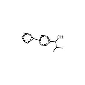 CC(C)C(O)c1ccc(-c2ccccc2)cc1